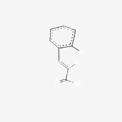 O=C(O)/C(F)=C/c1ccccc1Cl